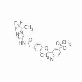 Cc1cc(CC(=O)Nc2cnn(C(C)C(F)(F)F)c2)ccc1Oc1ccnc2ccc(S(C)(=O)=O)cc12